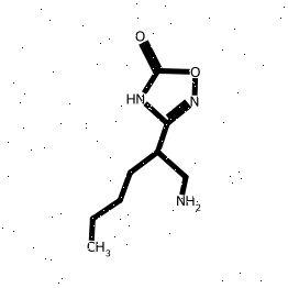 CCCCC(CN)c1noc(=O)[nH]1